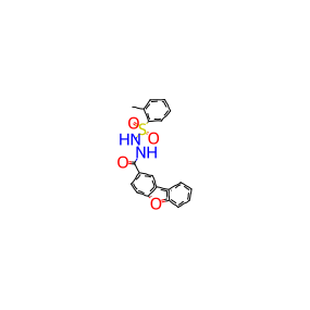 Cc1ccccc1S(=O)(=O)NNC(=O)c1ccc2oc3ccccc3c2c1